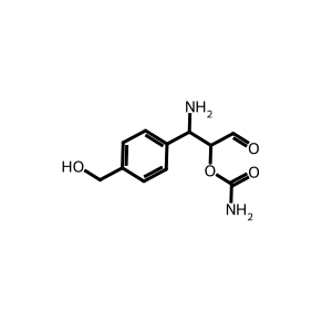 NC(=O)OC(C=O)C(N)c1ccc(CO)cc1